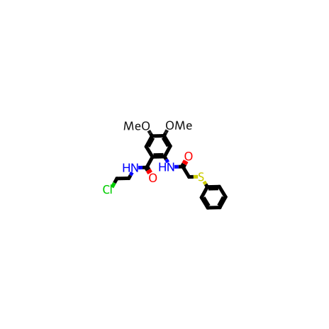 COc1cc(NC(=O)CSc2ccccc2)c(C(=O)NCCCl)cc1OC